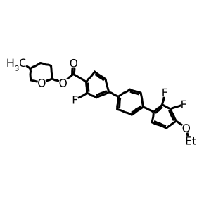 CCOc1ccc(-c2ccc(-c3ccc(C(=O)OC4CCC(C)CO4)c(F)c3)cc2)c(F)c1F